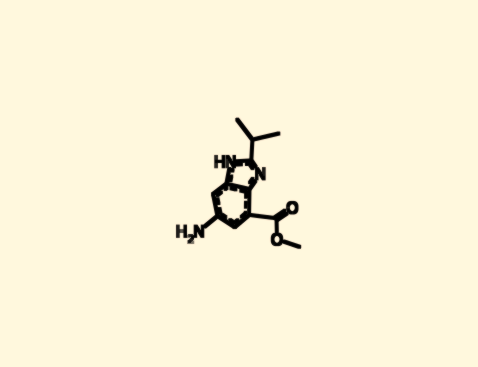 COC(=O)c1cc(N)cc2[nH]c(C(C)C)nc12